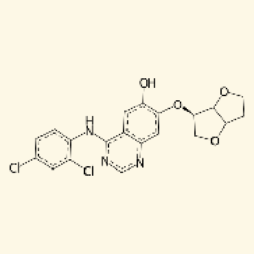 Oc1cc2c(Nc3ccc(Cl)cc3Cl)ncnc2cc1O[C@@H]1COC2CCOC21